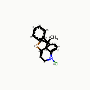 CC1CSC2=CCN(Cl)C3=CC=CC(c4ccccc4)C231